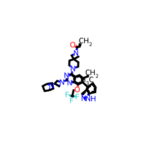 C=CC(=O)N1CC2(CCN(c3nc(N4CC(N5C6CCC5CC6)C4)nc4c(OCC(F)(F)F)c(-c5c(C)ccc6[nH]ncc56)c(C=C)cc34)CC2)C1